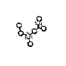 c1ccc(-c2cccc(-c3nc(-c4ccccc4)nc(-c4ccc(-c5c6ccccc6n6c5sc5ccccc56)cc4)n3)c2)cc1